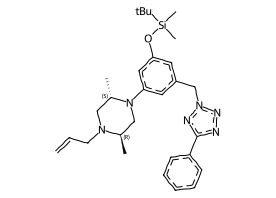 C=CCN1C[C@H](C)N(c2cc(Cn3nnc(-c4ccccc4)n3)cc(O[Si](C)(C)C(C)(C)C)c2)C[C@H]1C